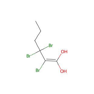 CCCC(Br)(Br)C(Br)=C(O)O